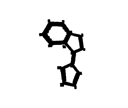 C1=CC(=C2C=Cc3ccccc32)C=C1